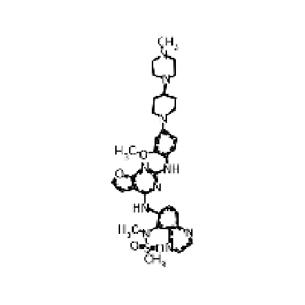 COc1cc(N2CCC(N3CCN(C)CC3)CC2)ccc1Nc1nc(Nc2ccc3nccnc3c2N(C)S(C)(=O)=O)c2ccoc2n1